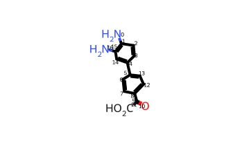 Nc1ccc(-c2ccc(C(=O)C(=O)O)cc2)cc1N